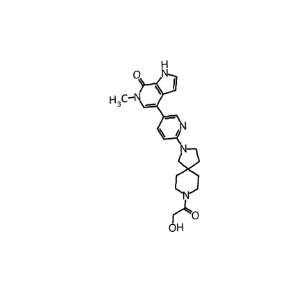 Cn1cc(-c2ccc(N3CCC4(CCN(C(=O)CO)CC4)C3)nc2)c2cc[nH]c2c1=O